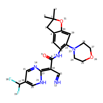 CC1(C)Cc2cc(NC(=O)/C(C=N)=C3\N=CC(C(F)F)=CN3)c(N3CCOCC3)cc2O1